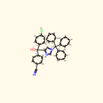 N#Cc1ccc(C(O)(c2ccc(Cl)cc2)c2cn(C(c3ccccc3)(c3ccccc3)c3ccccc3)cn2)cc1